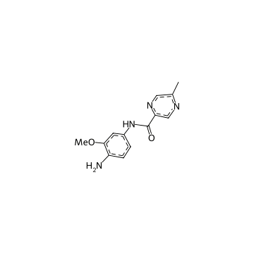 COc1cc(NC(=O)c2cnc(C)cn2)ccc1N